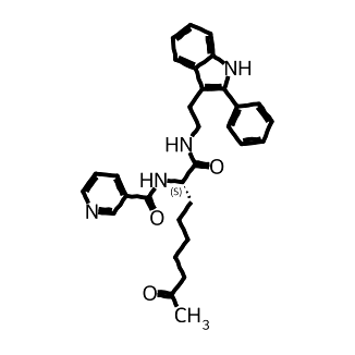 CC(=O)CCCCC[C@H](NC(=O)c1cccnc1)C(=O)NCCc1c(-c2ccccc2)[nH]c2ccccc12